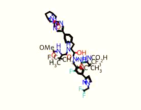 COC(=O)NC(C(=O)NC(Cc1ccc(-c2cnc(N3CC4CCC(C3)N4C3COC3)nc2)cc1)C(O)CN(Cc1c(F)cc(-c2ccn(CC(F)F)n2)cc1F)NC(=O)C(NC(=O)O)C(C)(C)C(F)(F)F)C(C)(C)C(F)(F)F